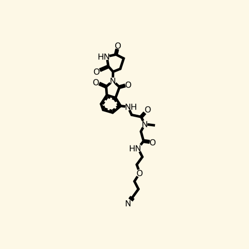 CN(CC(=O)NCCOCCC#N)C(=O)CNc1cccc2c1C(=O)N(C1CCC(=O)NC1=O)C2=O